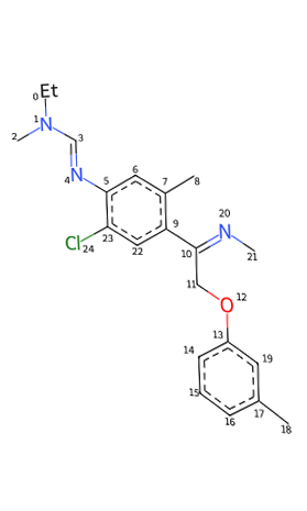 CCN(C)C=Nc1cc(C)c(C(COc2cccc(C)c2)=NC)cc1Cl